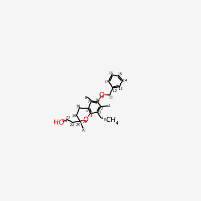 C.Cc1c(C)c2c(c(C)c1OCc1ccccc1)CC[C@@](C)(CCO)O2